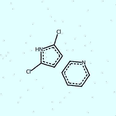 Clc1ccc(Cl)[nH]1.c1ccncc1